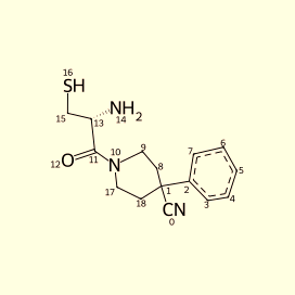 N#CC1(c2ccccc2)CCN(C(=O)[C@@H](N)CS)CC1